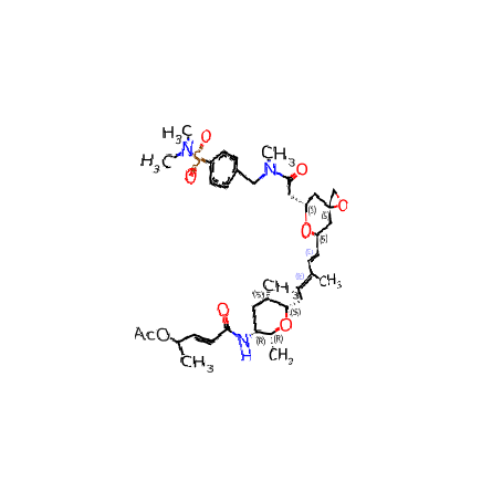 CC(=O)OC(C)C=CC(=O)N[C@@H]1C[C@H](C)[C@H](C/C=C(C)/C=C/[C@@H]2C[C@]3(CO3)C[C@@H](CC(=O)N(C)Cc3ccc(S(=O)(=O)N(C)C)cc3)O2)O[C@@H]1C